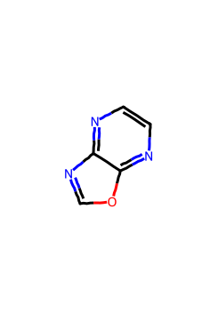 c1cnc2ocnc2n1